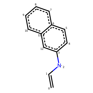 C=C[N]c1ccc2ccccc2c1